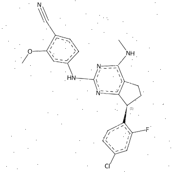 CNc1nc(Nc2ccc(C#N)c(OC)c2)nc2c1CC[C@H]2c1ccc(Cl)cc1F